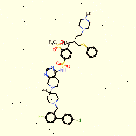 [2H]C1(N2CCc3c(ncnc3NS(=O)(=O)c3ccc([AsH][C@H](CCN4CCN(CC)CC4)CSc4ccccc4)c(S(=O)(=O)C(F)(F)F)c3)C2)CCN(Cc2cc(F)ccc2-c2ccc(Cl)cc2)CC1